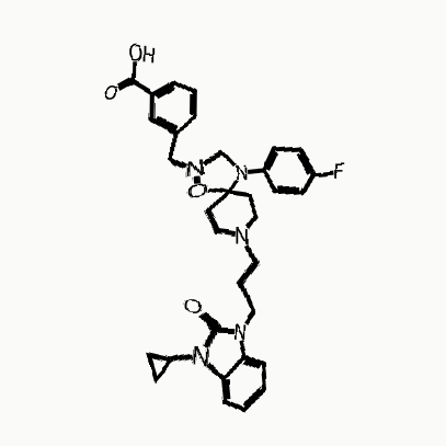 O=C(O)c1cccc(CN2CN(c3ccc(F)cc3)C3(CCN(CCCn4c(=O)n(C5CC5)c5ccccc54)CC3)O2)c1